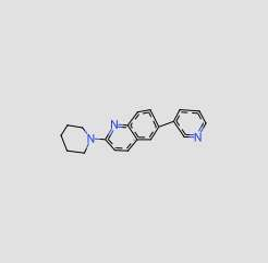 c1cncc(-c2ccc3nc(N4CCCCC4)ccc3c2)c1